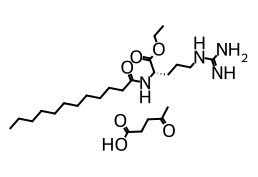 CC(=O)CCC(=O)O.CCCCCCCCCCCC(=O)N[C@@H](CCCNC(=N)N)C(=O)OCC